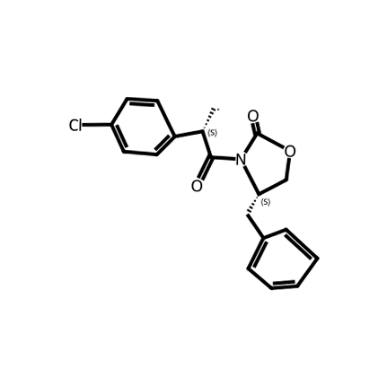 [CH2][C@H](C(=O)N1C(=O)OC[C@@H]1Cc1ccccc1)c1ccc(Cl)cc1